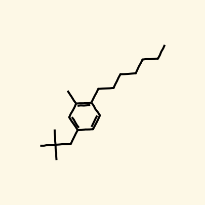 CCCCCCCc1ccc(CC(C)(C)C)cc1C